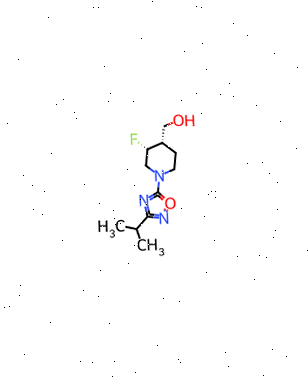 CC(C)c1noc(N2CC[C@@H](CO)[C@@H](F)C2)n1